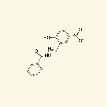 O=C(NN=Cc1cc([N+](=O)[O-])ccc1O)c1ccccn1